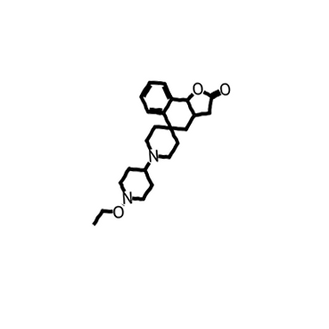 CCON1CCC(N2CCC3(CC2)CC2CC(=O)OC2c2ccccc23)CC1